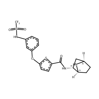 O=C(N[C@@H]1C[C@H]2CC[C@@H]1N2)c1ccc(Oc2cccc(NS(=O)(=O)C(F)(F)F)c2)s1